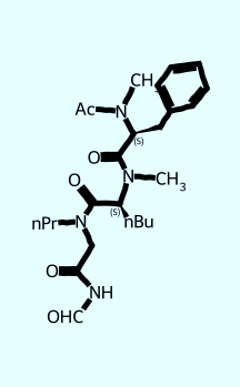 CCCC[C@@H](C(=O)N(CCC)CC(=O)NC=O)N(C)C(=O)[C@H](Cc1ccccc1)N(C)C(C)=O